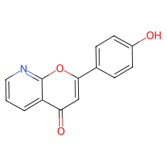 O=c1cc(-c2ccc(O)cc2)oc2ncccc12